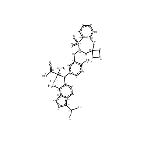 Cc1ccc([C@@H](c2ccn3c(C(F)F)nnc3c2C)C(C)(C)C(=O)O)cc1CN1CC2(COC2)Oc2ncccc2S1(=O)=O